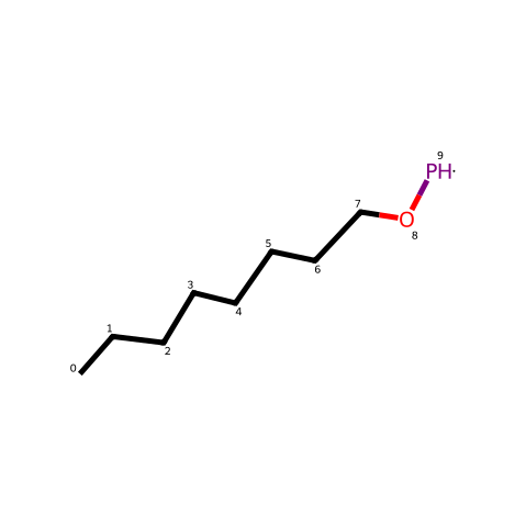 CCCCCCCCO[PH]